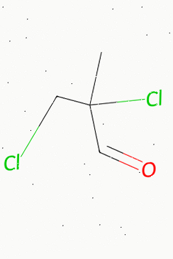 CC(Cl)(C=O)CCl